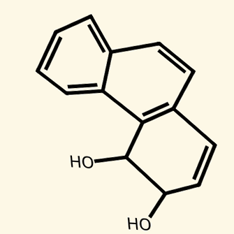 OC1C=Cc2ccc3ccccc3c2C1O